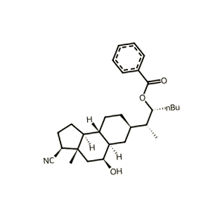 CCCC[C@@H](OC(=O)c1ccccc1)[C@H](C)[C@@H]1CC[C@@H]2[C@@H](C1)[C@@H](O)C[C@]1(C)[C@@H](C#N)CC[C@@H]21